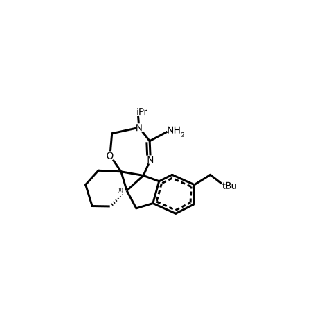 CC(C)N1COC23CCCC[C@]24Cc2ccc(CC(C)(C)C)cc2C34N=C1N